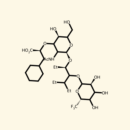 CCC(CC)C(OC1O[C@@H](C(F)(F)F)C(O)C(O)[C@@H]1O)[C@@H](CC)O[C@@H]1OC(CO)[C@H](O)C(O[C@@H](CC2CCCCC2)C(=O)O)C1NC(C)=O